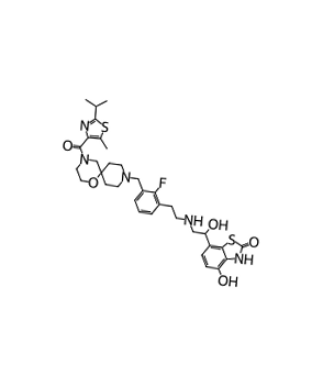 Cc1sc(C(C)C)nc1C(=O)N1CCOC2(CCN(Cc3cccc(CCNCC(O)c4ccc(O)c5[nH]c(=O)sc45)c3F)CC2)C1